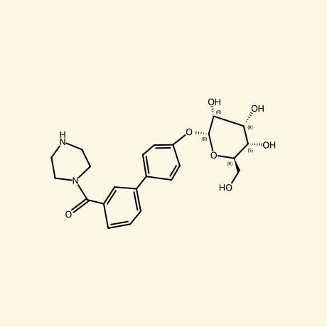 O=C(c1cccc(-c2ccc(O[C@H]3O[C@H](CO)[C@@H](O)[C@@H](O)[C@H]3O)cc2)c1)N1CCNCC1